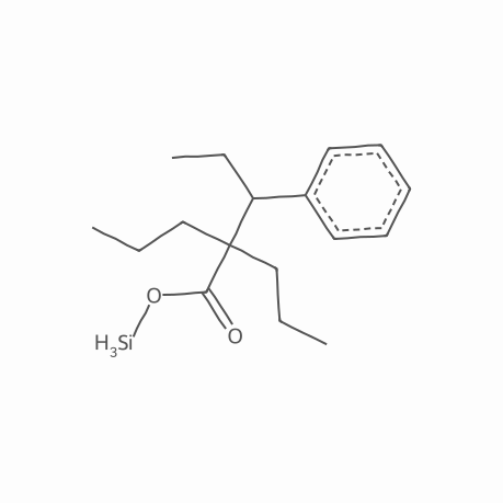 CCCC(CCC)(C(=O)O[SiH3])C(CC)c1ccccc1